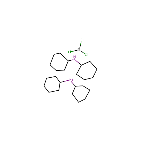 C1CCC(PC2CCCCC2)CC1.C1CCC(PC2CCCCC2)CC1.[Cl][Ru]([Cl])[Cl]